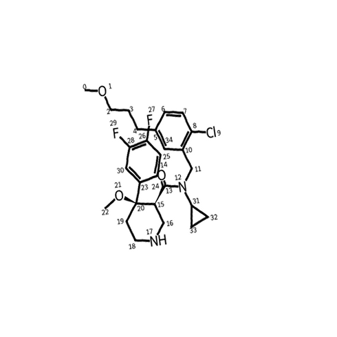 COCCCc1ccc(Cl)c(CN(C(=O)[C@H]2CNCC[C@]2(OC)c2ccc(F)c(F)c2)C2CC2)c1